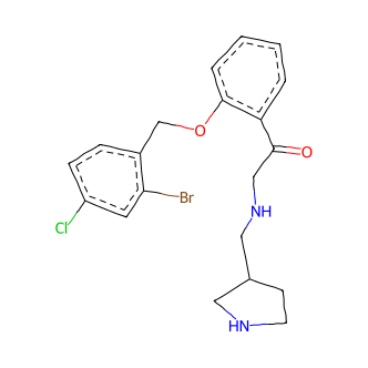 O=C(CNCC1CCNC1)c1ccccc1OCc1ccc(Cl)cc1Br